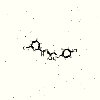 C/C(COc1ccc(Cl)cc1)=N\Nc1cccc(Cl)n1